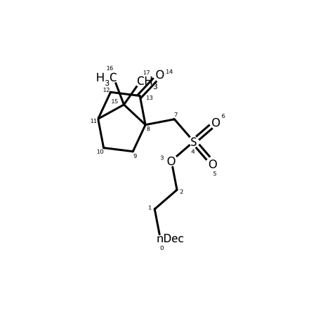 CCCCCCCCCCCCOS(=O)(=O)CC12CCC(CC1=O)C2(C)C